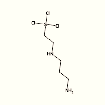 NCCCNCC[Si](Cl)(Cl)Cl